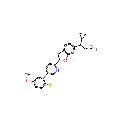 CCC(c1ccc2c(c1)OC(c1ccc(-c3cc(OC)ccc3F)cn1)C2)C1CC1